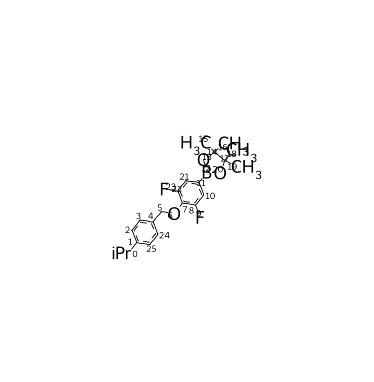 CC(C)c1ccc(COc2c(F)cc(B3OC(C)(C)C(C)(C)O3)cc2F)cc1